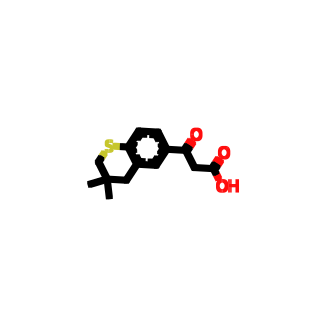 CC1(C)CSc2ccc(C(=O)CC(=O)O)cc2C1